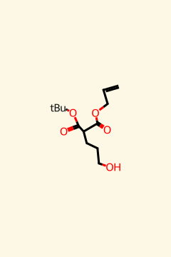 C=CCOC(=O)C(CCCO)C(=O)OC(C)(C)C